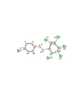 Brc1ccc(SSc2c(Br)c(Br)c(Br)c(Br)c2Br)cc1